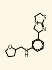 c1cc(NCC2CCCO2)cc(C2CN3CCSC3=N2)c1